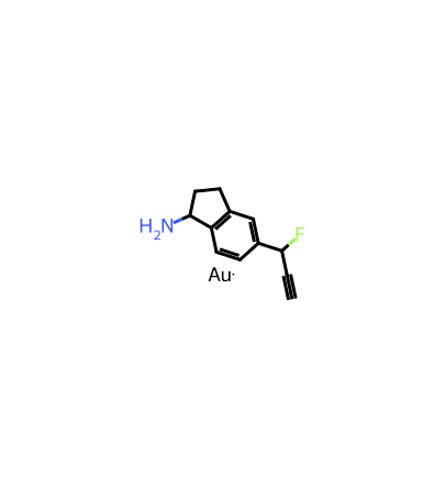 C#CC(F)c1ccc2c(c1)CCC2N.[Au]